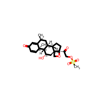 C[C@H]1C[C@@H]2[C@H]([C@@H](O)C[C@]34CO[C@]3(C(=O)COS(C)(=O)=O)CC[C@@H]24)[C@@]2(C)C=CC(=O)C=C12